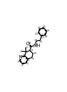 CC1(C)c2ncccc2CCC1C(=O)NCCc1ccccc1